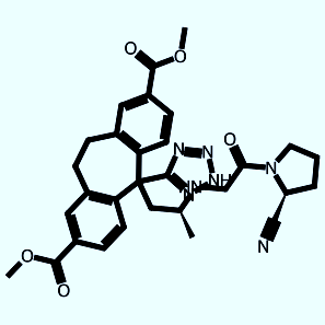 COC(=O)c1ccc2c(c1)CCc1cc(C(=O)OC)ccc1C2(C[C@H](C)NCC(=O)N1CCC[C@H]1C#N)c1nn[nH]n1